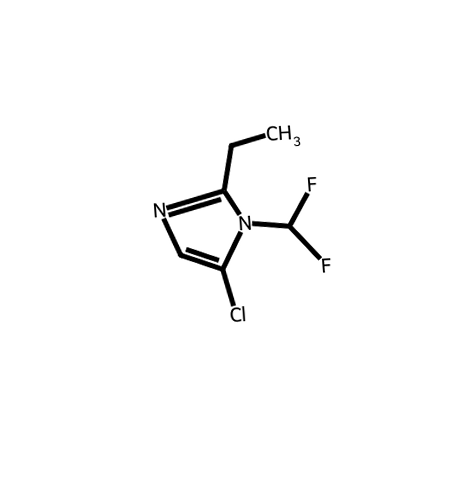 CCc1ncc(Cl)n1C(F)F